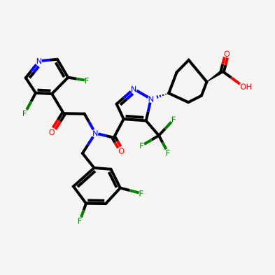 O=C(CN(Cc1cc(F)cc(F)c1)C(=O)c1cnn([C@H]2CC[C@H](C(=O)O)CC2)c1C(F)(F)F)c1c(F)cncc1F